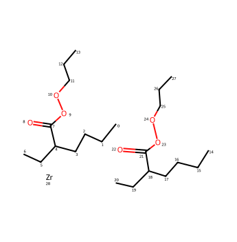 CCCCC(CC)C(=O)OOCCC.CCCCC(CC)C(=O)OOCCC.[Zr]